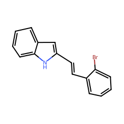 Brc1ccccc1/C=C/c1cc2ccccc2[nH]1